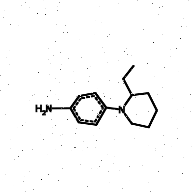 CCC1CCCCN1c1ccc(N)cc1